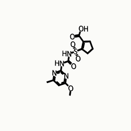 COc1cc(C)nc(NC(=O)NS(=O)(=O)C2=C(C(=O)O)CCC2)n1